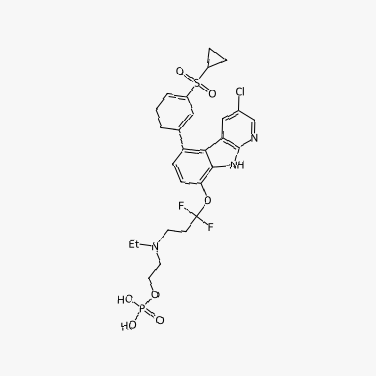 CCN(CCOP(=O)(O)O)CCC(F)(F)Oc1ccc(C2=CC(S(=O)(=O)C3CC3)=CCC2)c2c1[nH]c1ncc(Cl)cc12